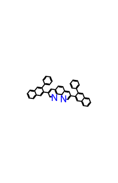 c1ccc(-c2cc3ccccc3cc2-c2cnc3c(ccc4cc(-c5cc6ccccc6cc5-c5ccccc5)cnc43)c2)cc1